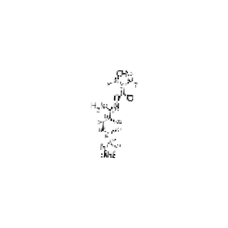 Cc1noc(C)c1C(=O)O/N=C(\N)c1ccc(-c2csnn2)cc1